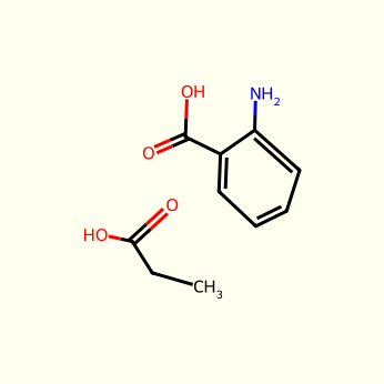 CCC(=O)O.Nc1ccccc1C(=O)O